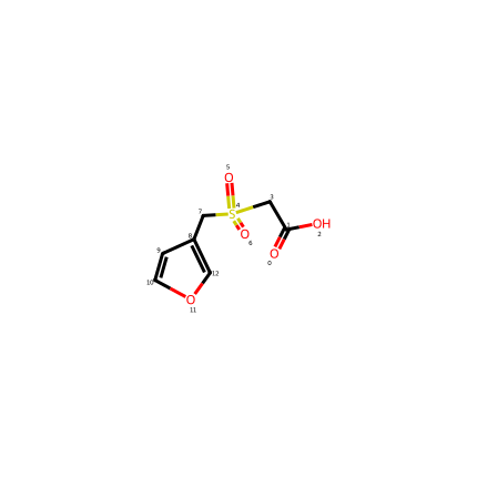 O=C(O)CS(=O)(=O)Cc1ccoc1